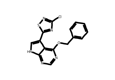 Clc1nsc(-c2c[nH]c3ncnc(OCc4ccccc4)c23)n1